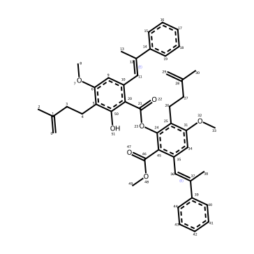 C=C(C)CCc1c(OC)cc(/C=C(\C)c2ccccc2)c(C(=O)Oc2c(CCC(=C)C)c(OC)cc(/C=C(\C)c3ccccc3)c2C(=O)OC)c1O